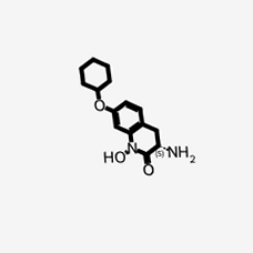 N[C@H]1Cc2ccc(OC3CCCCC3)cc2N(O)C1=O